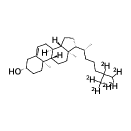 [2H]C([2H])C([2H])(CCC[C@@H](C)[C@H]1CC[C@H]2[C@@H]3CC=C4C[C@@H](O)CC[C@]4(C)[C@H]3CC[C@]12C)C([2H])([2H])[2H]